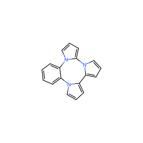 c1ccc2c(c1)n1cccc1c1cccn1c1cccn21